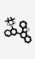 CC1(C)OB(c2cc(-c3cc4ccccc4c4oc5ccccc5c34)cc3c2CCC=C3)OC1(C)C